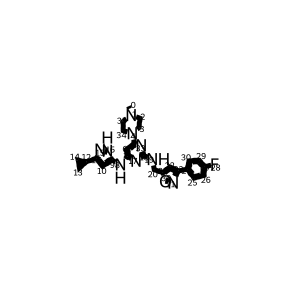 CN1CCN(c2cc(Nc3cc(C4CC4)n[nH]3)nc(NCc3cc(-c4ccc(F)cc4)no3)n2)CC1